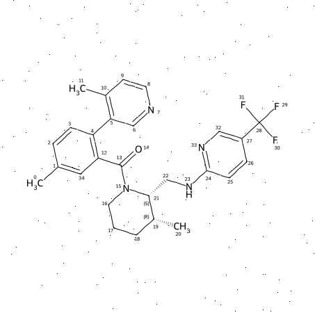 Cc1ccc(-c2cnccc2C)c(C(=O)N2CCC[C@@H](C)[C@H]2CNc2ccc(C(F)(F)F)cn2)c1